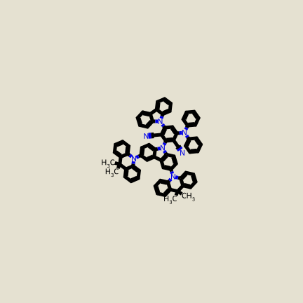 CC1(C)c2ccccc2N(c2ccc3c(c2)c2cc(N4c5ccccc5C(C)(C)c5ccccc54)ccc2n3-c2c(C#N)c(N(c3ccccc3)c3ccccc3)cc(-n3c4ccccc4c4ccccc43)c2C#N)c2ccccc21